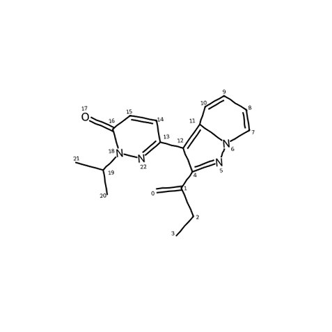 C=C(CC)c1nn2ccccc2c1-c1ccc(=O)n(C(C)C)n1